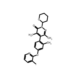 Cc1cc(Oc2ncccc2I)ccc1-c1c(C)nn(C2CCCCO2)c(=O)c1C